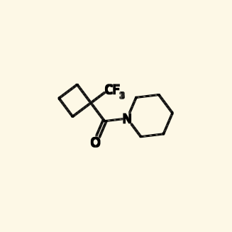 O=C(N1CCCCC1)C1(C(F)(F)F)CCC1